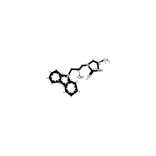 C[C@@H]1CN(C[C@H](O)Cn2c3ccccc3c3ccccc32)C(=O)N1